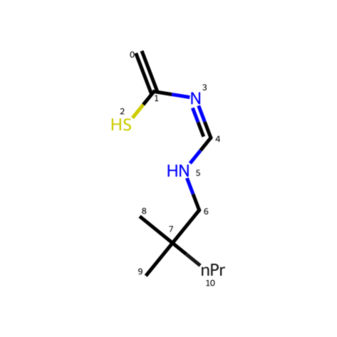 C=C(S)/N=C\NCC(C)(C)CCC